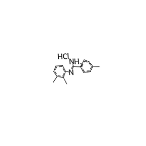 Cc1ccc(C(N)=Nc2cccc(C)c2C)cc1.Cl